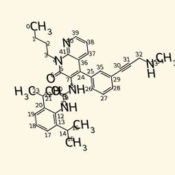 CCCCn1c(=O)c(NC(=O)Nc2c(C(C)C)cccc2C(C)C)c(-c2cccc(C#CCNC)c2)c2cccnc21